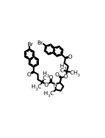 CC1CCC(C(=O)OC(C)(C)CCC(=O)c2ccc3cc(Br)ccc3c2)N1C(=O)OC(C)(C)CCC(=O)c1ccc2cc(Br)ccc2c1